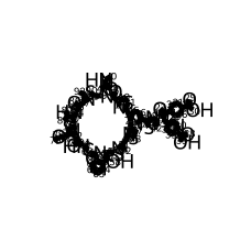 CNC(=O)C[C@@H]1NC(=O)c2csc(n2)-c2ccc(-c3nc(N(C(=O)C4CCC(C(=O)O)CC4)c4ccc(C(=O)O)nc4)cs3)nc2-c2csc(n2)-c2csc(n2)[C@H]([C@@H](O)c2ccccc2)NC(=O)CNC(=O)c2nc(sc2COC)C(C(C)C)NC(=O)c2nc1sc2C